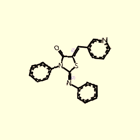 O=C1/C(=C/c2cccnc2)S/C(=N\c2ccccc2)N1c1ccccc1